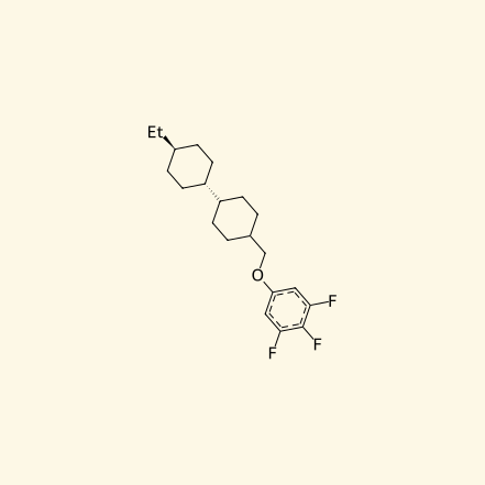 CC[C@H]1CC[C@H](C2CCC(COc3cc(F)c(F)c(F)c3)CC2)CC1